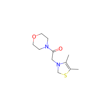 CC1=C(C)N(CC(=O)N2CCOCC2)CS1